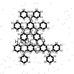 C[Si]1(C)c2ccccc2N(c2ccccc2)c2cc3c(cc21)B1c2cc4c(cc2Oc2cc(N(c5ccccc5)c5ccccc5)cc(c21)O3)N(c1ccccc1)c1cc(N(c2ccccc2)c2ccccc2)cc2c1B4c1ccccc1N2c1ccccc1